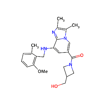 COc1cccc(C)c1CNc1cc(C(=O)N2CC(CO)C2)cn2c(C)c(C)nc12